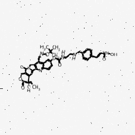 CC[C@@]1(O)C(=O)OCc2c1cc1n(c2=O)Cc2c-1nc1ccc(OC(=O)NCCNCc3ccc(/C=C/C(=O)NO)cc3)cc1c2/C=N\OC(C)(C)C